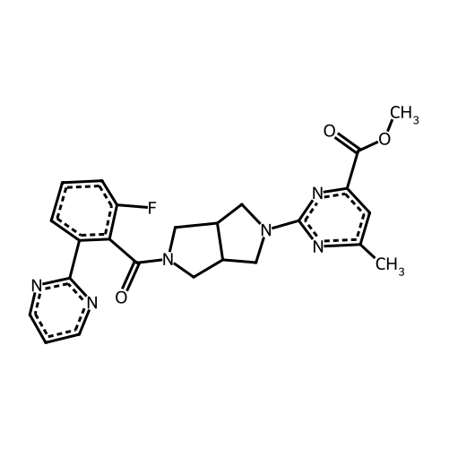 COC(=O)c1cc(C)nc(N2CC3CN(C(=O)c4c(F)cccc4-c4ncccn4)CC3C2)n1